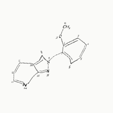 COc1ccccc1-n1cc2cccnc2n1